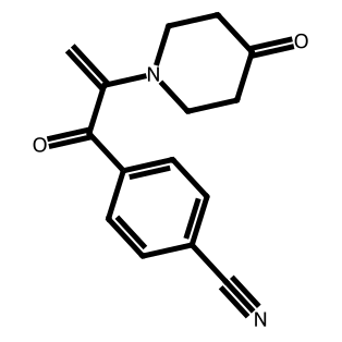 C=C(C(=O)c1ccc(C#N)cc1)N1CCC(=O)CC1